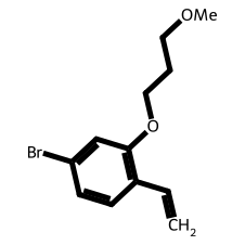 C=Cc1ccc(Br)cc1OCCCOC